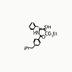 CCOC(=O)[C@H](O)[C@@H](Cc1ccccc1)NC(=O)c1ccc(CC(C)C)cc1